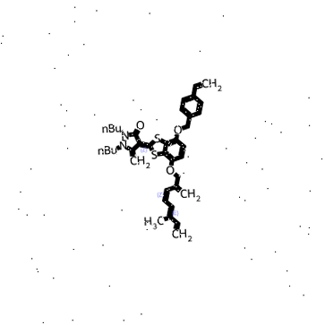 C=C/C(C)=C/C=C\C(=C)COc1ccc(OCc2ccc(C=C)cc2)c2c1S/C(=c1\c(=C)n(CCCC)n(CCCC)c1=O)S2